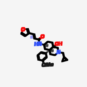 COc1cccc([C@@]23CCN(CC4CC4)C[C@@]2(O)CC[C@H](NC(=O)/C=C/c2ccoc2)C3)c1